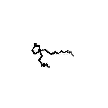 CCCCCCC[N+]1(CCN)C=NCC1